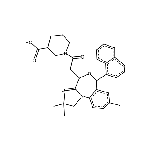 Cc1ccc2c(c1)C(c1cccc3ccccc13)OC(CC(=O)N1CCCC(C(=O)O)C1)C(=O)N2CC(C)(C)C